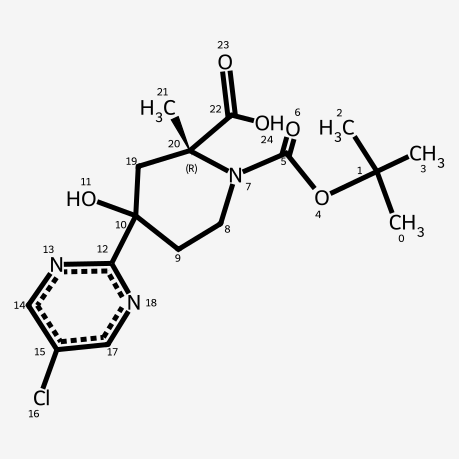 CC(C)(C)OC(=O)N1CCC(O)(c2ncc(Cl)cn2)C[C@]1(C)C(=O)O